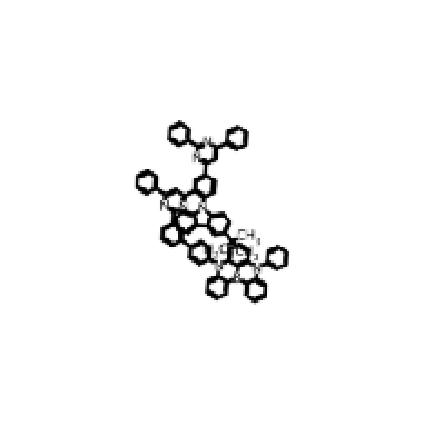 CC(C)(C)c1ccc2c(c1)c1ccccc1n2-c1ccc(-c2cc(-c3ccccc3)nc(-c3ccccc3)n2)cc1-c1cc(-c2ccccc2)nc(-c2cccc(-c3ccc(N4c5ccccc5B5c6ccccc6N(c6ccccc6)c6cccc4c65)cc3)c2)n1